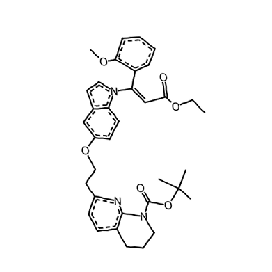 CCOC(=O)C=C(c1ccccc1OC)n1ccc2cc(OCCc3ccc4c(n3)N(C(=O)OC(C)(C)C)CCC4)ccc21